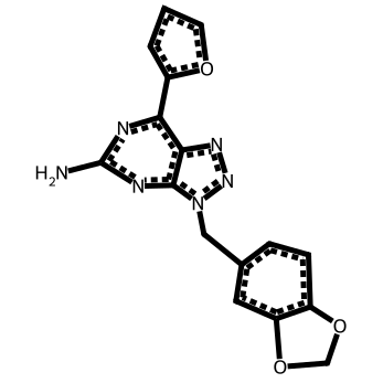 Nc1nc(-c2ccco2)c2nnn(Cc3ccc4c(c3)OCO4)c2n1